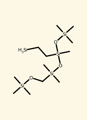 C[Si](C)(C)OC[Si](C)(C)O[Si](C)(CC[SiH3])O[Si](C)(C)C